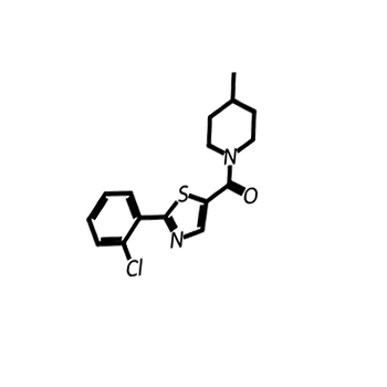 CC1CCN(C(=O)c2cnc(-c3ccccc3Cl)s2)CC1